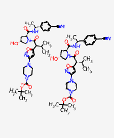 CC(C)C(C(=O)N1C[C@H](O)C[C@H]1C(=O)N[C@@H](C)c1ccc(C#N)cc1)c1cc(N2CCN(C(=O)OC(C)(C)C)CC2)no1.CC(C)[C@@H](C(=O)N1C[C@H](O)C[C@H]1C(=O)N[C@@H](C)c1ccc(C#N)cc1)c1cc(N2CCN(C(=O)OC(C)(C)C)CC2)no1